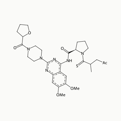 COc1cc2nc(N3CCN(C(=O)C4CCCO4)CC3)nc(NC(=O)[C@H]3CCCN3C(=S)C(C)CC(C)=O)c2cc1OC